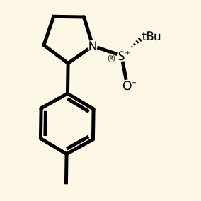 Cc1ccc(C2CCCN2[S@@+]([O-])C(C)(C)C)cc1